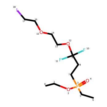 CCOP(=O)(CC)CCC(F)(F)OCCOCCI